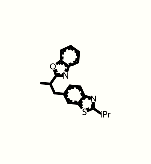 CC(C)c1nc2ccc(CC(C)c3nc4ccccc4o3)cc2s1